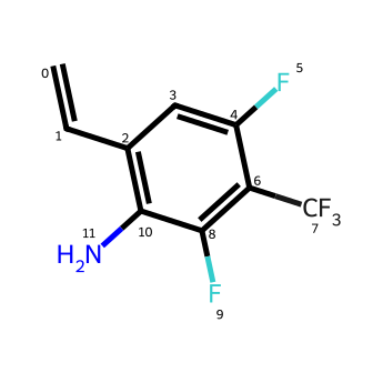 C=Cc1cc(F)c(C(F)(F)F)c(F)c1N